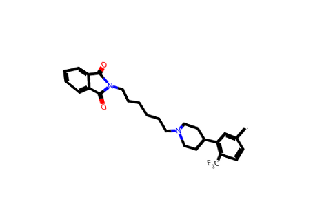 [CH2]c1ccc(C(F)(F)F)c(C2CCN(CCCCCCN3C(=O)c4ccccc4C3=O)CC2)c1